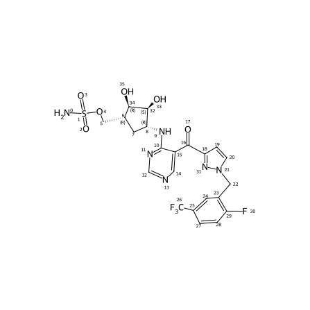 NS(=O)(=O)OC[C@H]1C[C@@H](Nc2ncncc2C(=O)c2ccn(Cc3cc(C(F)(F)F)ccc3F)n2)[C@H](O)[C@@H]1O